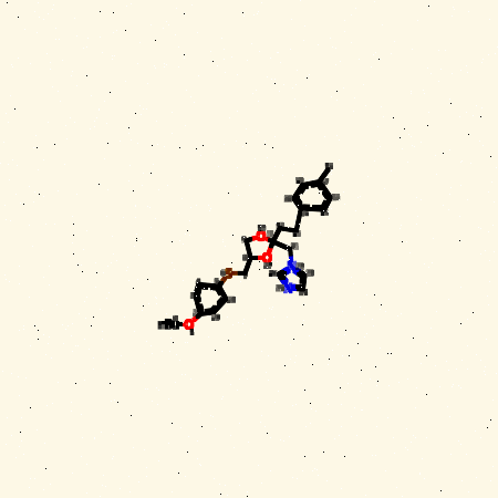 CCCCOc1ccc(SCC2COC(CCc3ccc(C)cc3)(Cn3ccnc3)O2)cc1